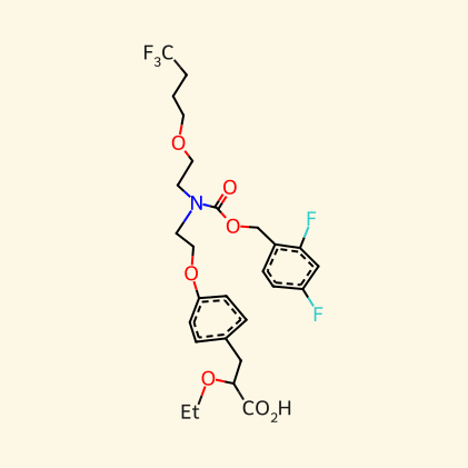 CCOC(Cc1ccc(OCCN(CCOCCCC(F)(F)F)C(=O)OCc2ccc(F)cc2F)cc1)C(=O)O